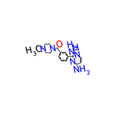 CN1CCN(C(=O)c2cccc(C3(N)N=C(N)C=CN3)c2)CC1